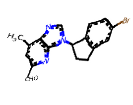 Cc1cc(C=O)nc2c1ncn2C1CCc2cc(Br)ccc21